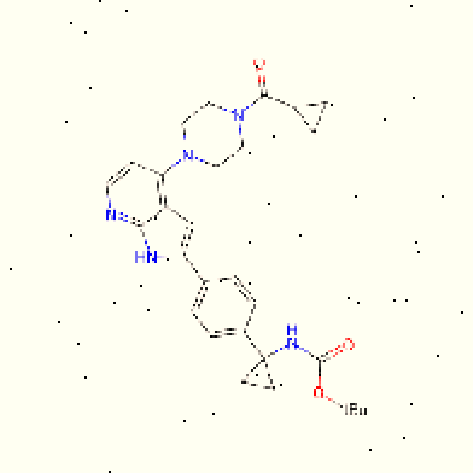 CC(C)(C)OC(=O)NC1(c2ccc(-c3cc4c(N5CCN(C(=O)C6CC6)CC5)ccnc4[nH]3)cc2)CC1